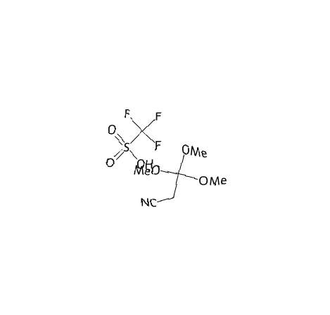 COC(CC#N)(OC)OC.O=S(=O)(O)C(F)(F)F